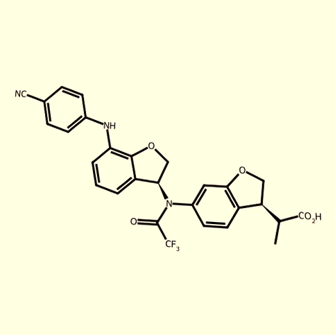 CC(C(=O)O)[C@@H]1COc2cc(N(C(=O)C(F)(F)F)[C@@H]3COc4c(Nc5ccc(C#N)cc5)cccc43)ccc21